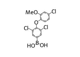 COc1cc(Cl)ccc1Oc1c(Cl)cc(B(O)O)cc1Cl